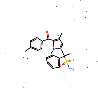 Cc1ccc(C(=O)c2c(C)cc(C(C)(c3ccccc3)S(N)(=O)=O)n2C)cc1